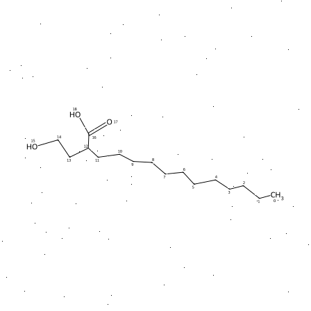 CCCCCCCCCCCCC(CCO)C(=O)O